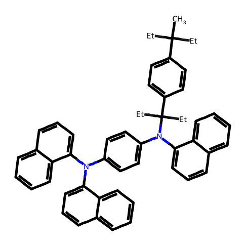 CCC(C)(CC)c1ccc(C(CC)(CC)N(c2ccc(N(c3cccc4ccccc34)c3cccc4ccccc34)cc2)c2cccc3ccccc23)cc1